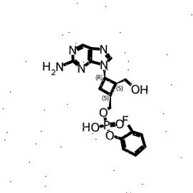 Nc1ncc2ncn([C@@H]3C[C@H](COP(=O)(O)Oc4ccccc4F)[C@@H]3CO)c2n1